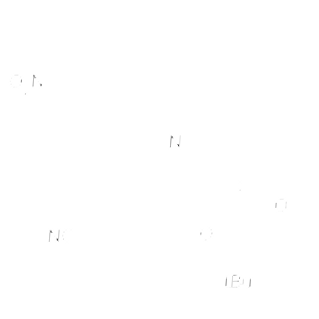 [C-]#[N+]Cc1cn(CC(=O)OC(C)(C)C)c2cccc([N+](=O)[O-])c12